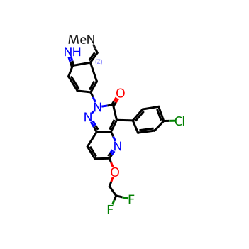 CN/C=C1/C=C(n2nc3ccc(OCC(F)F)nc3c(-c3ccc(Cl)cc3)c2=O)C=CC1=N